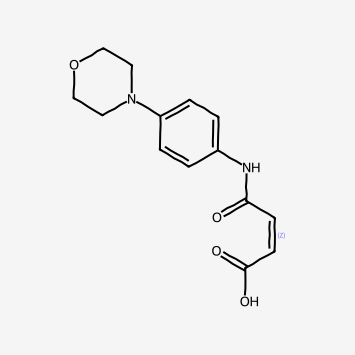 O=C(O)/C=C\C(=O)Nc1ccc(N2CCOCC2)cc1